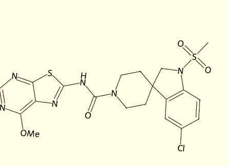 COc1ncnc2sc(NC(=O)N3CCC4(CC3)CN(S(C)(=O)=O)c3ccc(Cl)cc34)nc12